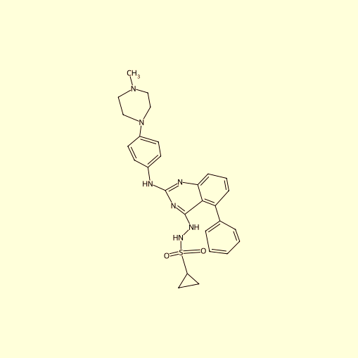 CN1CCN(c2ccc(Nc3nc(NNS(=O)(=O)C4CC4)c4c(-c5ccccc5)cccc4n3)cc2)CC1